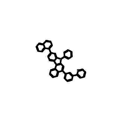 c1ccc(-n2c3cc(-c4cccc5ccccc45)ccc3c3c4ccccc4c(-c4cccc(-c5ccccn5)c4)cc32)cc1